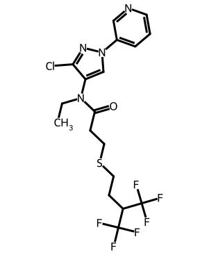 CCN(C(=O)CCSCCC(C(F)(F)F)C(F)(F)F)c1cn(-c2cccnc2)nc1Cl